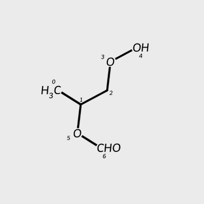 CC(COO)OC=O